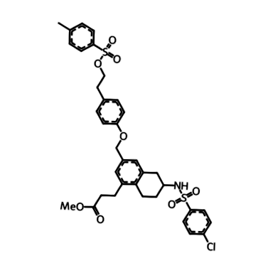 COC(=O)CCc1cc(COc2ccc(CCOS(=O)(=O)c3ccc(C)cc3)cc2)cc2c1CCC(NS(=O)(=O)c1ccc(Cl)cc1)C2